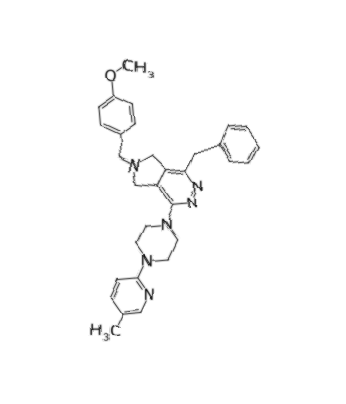 COc1ccc(CN2Cc3c(Cc4ccccc4)nnc(N4CCN(c5ccc(C)cn5)CC4)c3C2)cc1